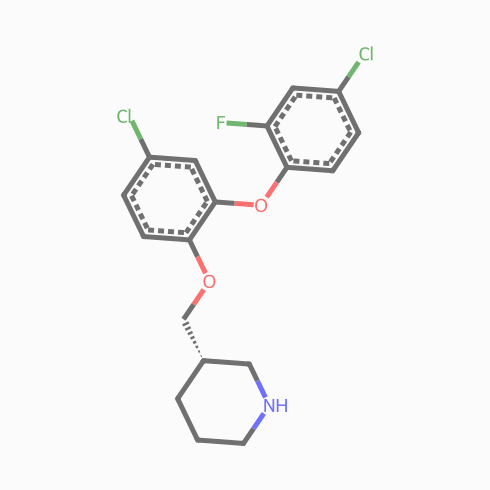 Fc1cc(Cl)ccc1Oc1cc(Cl)ccc1OC[C@H]1CCCNC1